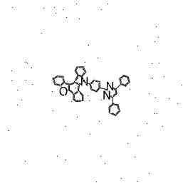 c1ccc(-c2cc(-c3ccccc3)nc(-c3ccc(-n4c5ccccc5c5c6c7ccccc7oc6c6ccccc6c54)cc3)n2)cc1